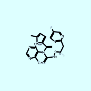 C=C(NS[C@@H](C)Cc1ncc(F)cn1)N(C(=C)c1ccc(C)o1)c1c(OC)ncnc1OC